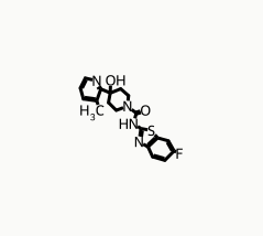 Cc1cccnc1C1(O)CCN(C(=O)Nc2nc3ccc(F)cc3s2)CC1